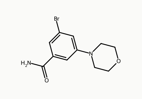 NC(=O)c1cc(Br)cc(N2CCOCC2)c1